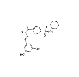 CN(C(=O)C=Cc1cc(O)cc(O)c1)c1ccc(S(=O)(=O)NC2CCCCC2)cc1